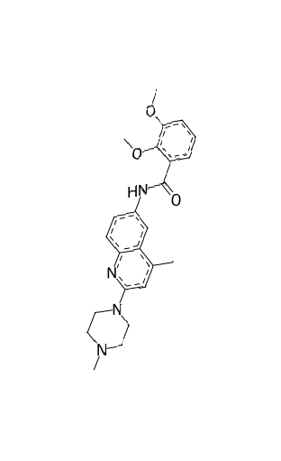 COc1cccc(C(=O)Nc2ccc3nc(N4CCN(C)CC4)cc(C)c3c2)c1OC